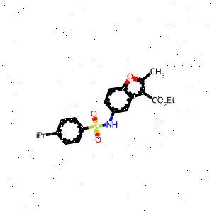 CCOC(=O)c1c(C)oc2ccc(NS(=O)(=O)c3ccc(C(C)C)cc3)cc12